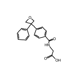 O=C(O)CNC(=O)c1ccc(C2(c3ccccc3)COC2)cc1